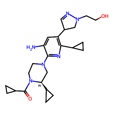 Nc1cc(C2C=NN(CCO)C2)c(C2CC2)nc1N1CCN(C(=O)C2CC2)[C@H](C2CC2)C1